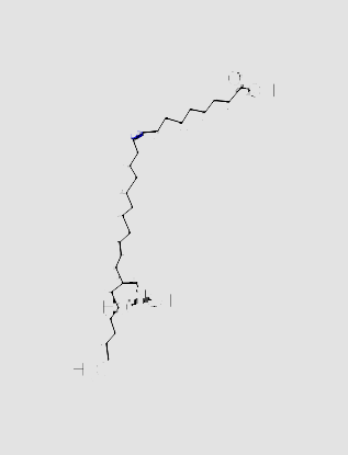 CCCCCCCC(CCCCCCCCCC/C=C\CCCCCCCC(=O)O)CN(C)C